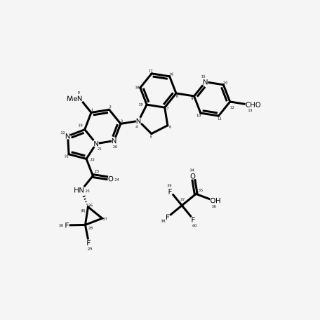 CNc1cc(N2CCc3c(-c4ccc(C=O)cn4)cccc32)nn2c(C(=O)N[C@@H]3CC3(F)F)cnc12.O=C(O)C(F)(F)F